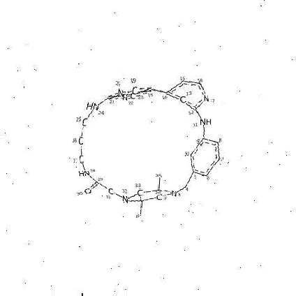 CC1CN2Cc3cccc(c3)Nc3cc(ccn3)-c3cnc(nc3)NCCCNC(=O)CN1CC2C